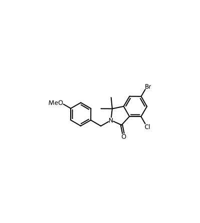 COc1ccc(CN2C(=O)c3c(Cl)cc(Br)cc3C2(C)C)cc1